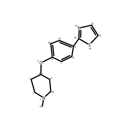 CN1CCC(Oc2ccc(-c3nccs3)cc2)CC1